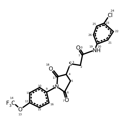 O=C(CSC1CC(=O)N(c2ccc(OC(F)(F)F)cc2)C1=O)Nc1ccc(Cl)cc1